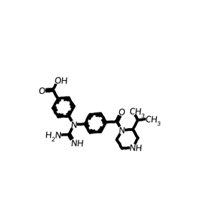 CC(C)C1CNCCN1C(=O)c1ccc(N(C(=N)N)c2ccc(C(=O)O)cc2)cc1